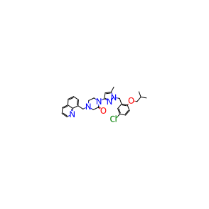 Cc1cc(N2CCN(Cc3cccc4cccnc34)CC2=O)nn1Cc1cc(Cl)ccc1OCC(C)C